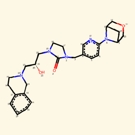 O=C1N(Cc2ccc(N3C4COCC3C4)nc2)CCN1C[C@H](O)CN1CCc2ccccc2C1